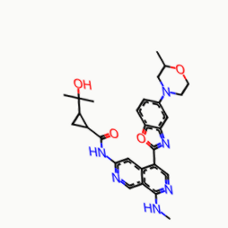 CNc1ncc(-c2nc3cc(N4CCOC(C)C4)ccc3o2)c2cc(NC(=O)C3CC3C(C)(C)O)ncc12